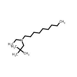 CCCCCCCCCN(CC)CC(C)(C)C